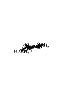 CC(C)=CCC/C(C)=C/CC(C[C@H](NC(=O)c1ccc(NCc2cnc3nc(N)[nH]c(=O)c3n2)cc1)C(=O)O)C(=O)Cl